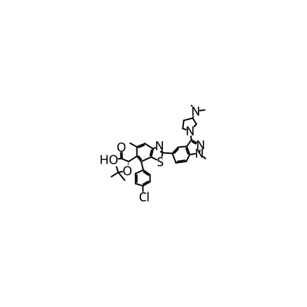 Cc1cc2nc(-c3ccc4c(c3)c(N3CC[C@@H](N(C)C)C3)nn4C)sc2c(-c2ccc(Cl)cc2)c1[C@H](OC(C)(C)C)C(=O)O